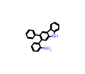 Nc1ccccc1-c1cc2[nH]c3ccccc3c2cc1-c1ccccc1